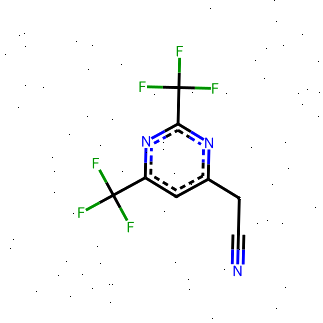 N#CCc1cc(C(F)(F)F)nc(C(F)(F)F)n1